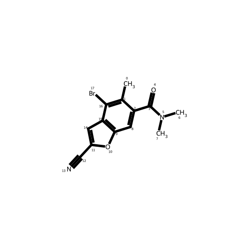 Cc1c(C(=O)N(C)C)cc2oc(C#N)cc2c1Br